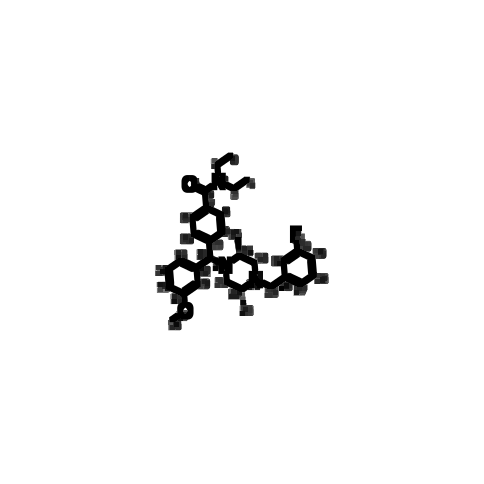 CCN(CC)C(=O)c1ccc([C@H](c2cccc(OC)c2)N2C[C@@H](C)N(Cc3cccc(F)c3)C[C@@H]2C)cc1